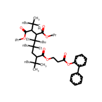 CCCCC(C)(C)C(CC(CC)(CCCC)C(CC)(CCCC)C(C(=O)OC(C)C)C(C(=O)OC(C)C)C(C)(C)CCCC)C(=O)OCCC(=O)Oc1ccccc1-c1ccccc1